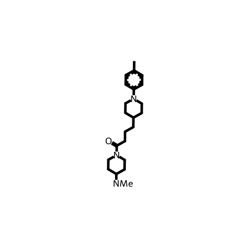 CNC1CCN(C(=O)CCCC2CCN(c3ccc(C)cc3)CC2)CC1